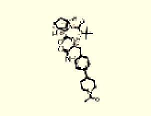 CC(=O)N1CCC(c2ccc(C[C@H](NC(=O)[C@@H]3[C@H]4CC[C@H](C4)N3C(=O)OC(C)(C)C)C(N)=O)cc2)CC1